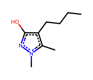 CCCCc1c(O)nn(C)c1C